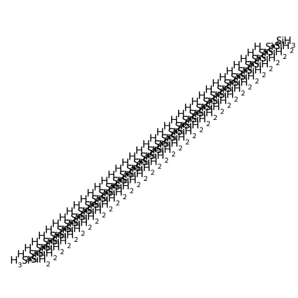 [SiH3][SiH2][SiH2][SiH2][SiH2][SiH2][SiH2][SiH2][SiH2][SiH2][SiH2][SiH2][SiH2][SiH2][SiH2][SiH2][SiH2][SiH2][SiH2][SiH2][SiH2][SiH2][SiH2][SiH2][SiH2][SiH2][SiH2][SiH2][SiH2][SiH2][SiH2][SiH2][SiH2][SiH2][SiH2][SiH2][SiH2][SiH2][SiH2][SiH2][SiH2][SiH2][SiH2][SiH2][SiH2][SiH2][SiH2][SiH2][SiH2][SiH2][SiH2][SiH2][SiH2][SiH2][SiH2][SiH2][SiH2][SiH2][SiH2][SiH2][SiH2][SiH2][SiH2][SiH2][SiH2][SiH2][SiH2][SiH2][SiH2][SiH2][SiH2][SiH2][SiH3]